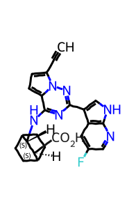 C#Cc1ccc2c(N[C@H]3C4CCC(CC4)[C@@H]3C(=O)O)nc(-c3c[nH]c4ncc(F)cc34)nn12